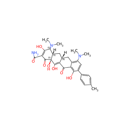 Cc1ccc(-c2cc(N(C)C)c3c(c2O)C(=O)C2=C(O)[C@]4(O)C(=O)C(C(N)=O)=C(O)[C@@H](N(C)C)[C@@H]4C[C@@H]2C3)cc1